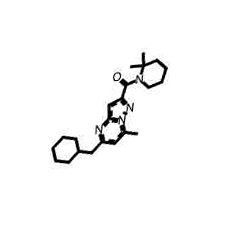 Cc1cc(CC2CCCCC2)nc2cc(C(=O)N3CCCCC3(C)C)nn12